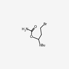 CCCCC(CCBr)OC(N)=O